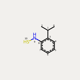 CC(C)c1ccccc1NS